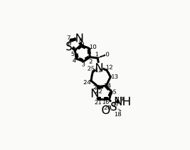 C[C@H](c1ccc2scnc2c1)N1CCc2cc([S@@](C)(=N)=O)cnc2CC1